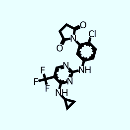 O=C1CCC(=O)N1c1cc(Nc2ncc(C(F)(F)F)c(NC3CC3)n2)ccc1Cl